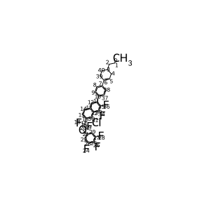 CCCC1CC=C(c2ccc(-c3cc4ccc(C(F)(F)Oc5cc(F)c(F)c(F)c5)c(Cl)c4c(F)c3F)cc2)CC1